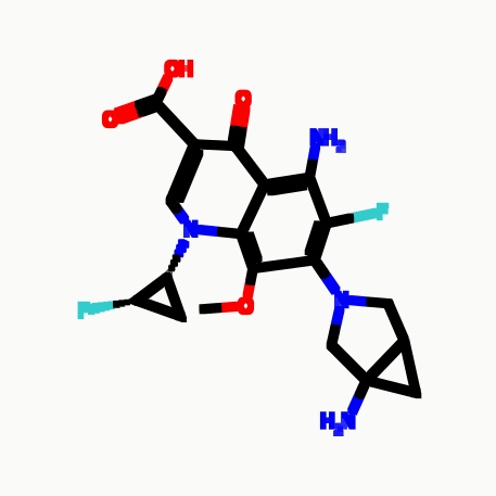 COc1c(N2CC3CC3(N)C2)c(F)c(N)c2c(=O)c(C(=O)O)cn([C@@H]3C[C@@H]3F)c12